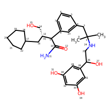 CC(C)(Cc1cccc(C(C(N)=O)[C@@H](CO)CC2CCCCC2)c1)NCC(O)c1cc(O)cc(O)c1